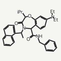 CCN(CC)c1ccc2c(c1)OC(C(C)C)C(=O)N(C(C)c1cccc3ccccc13)C2C(=O)NCc1ccccc1